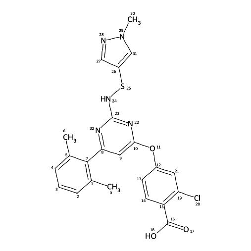 Cc1cccc(C)c1-c1cc(Oc2ccc(C(=O)O)c(Cl)c2)nc(NSc2cnn(C)c2)n1